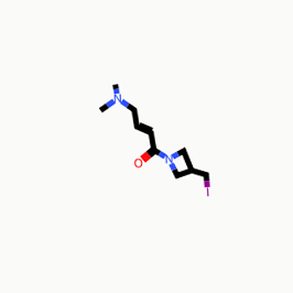 CN(C)C/C=C/C(=O)N1CC(CI)C1